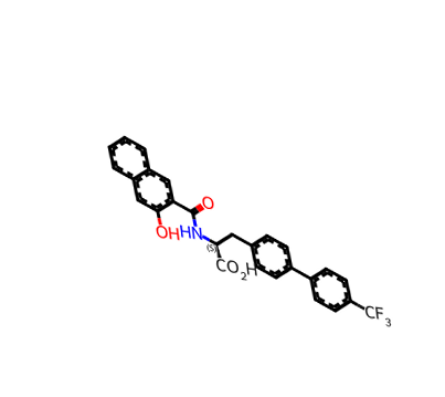 O=C(N[C@@H](Cc1ccc(-c2ccc(C(F)(F)F)cc2)cc1)C(=O)O)c1cc2ccccc2cc1O